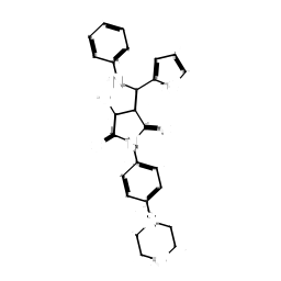 O=C1C2ON(c3ccccc3)C(c3ccco3)C2C(=O)N1c1ccc(N2CCOCC2)cc1